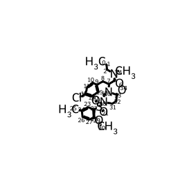 CCCN(C)C(=O)C(Cc1ccc(Cl)cc1)N1CN(S(=O)(=O)c2cc(C)ccc2OC)CCC1=O